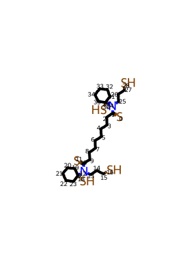 S=C(CCCCCCCCC(=S)N(CCCS)C1(S)CCCCC1)N(CCCS)C1(S)CCCCC1